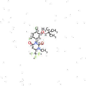 Cn1c(C(F)(F)F)cc(=O)n(-c2cc(OCC(C)(C)C)c(Cl)cc2F)c1=O